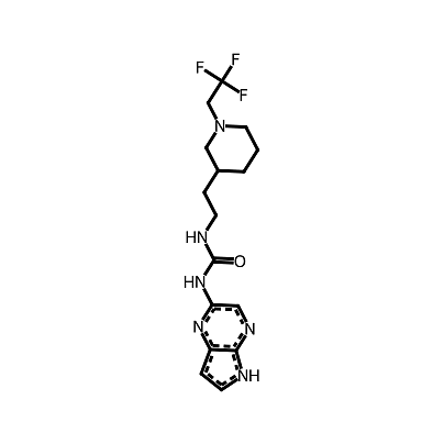 O=C(NCCC1CCCN(CC(F)(F)F)C1)Nc1cnc2[nH]ccc2n1